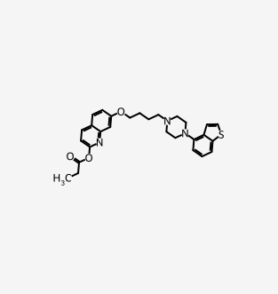 CCC(=O)Oc1ccc2ccc(OCCCCN3CCN(c4cccc5sccc45)CC3)cc2n1